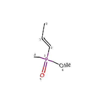 CC=CP(C)(=O)OC